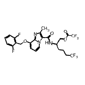 Cc1nc2c(OCc3c(F)cccc3F)cccn2c1C(=O)NC(CCCC(F)(F)F)COC(=O)C(F)(F)F